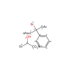 CCC(O)C(=O)O.CCCCCC(Br)(OC(C)=O)c1ccccc1